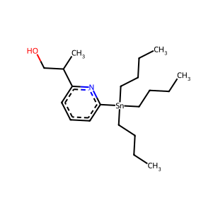 CCC[CH2][Sn]([CH2]CCC)([CH2]CCC)[c]1cccc(C(C)CO)n1